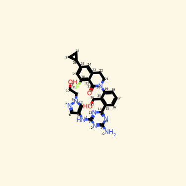 Nc1nc(Nc2cnn(CCO)c2)nc(-c2cccc(N3CCc4cc(C5CC5)cc(F)c4C3=O)c2CO)n1